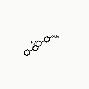 COc1ccc(C(CN)Cc2ccc(-c3ccccc3)cc2)cc1